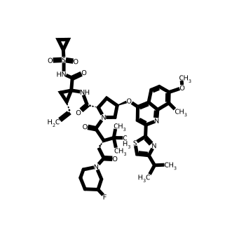 C=C[C@@H]1CC1(NC(=O)[C@@H]1C[C@@H](Oc2cc(-c3nc(C(C)C)cs3)nc3c(C)c(OC)ccc23)CN1C(=O)[C@@H](CC(=O)N1CCCC(F)C1)C(C)(C)C)C(=O)NS(=O)(=O)C1CC1